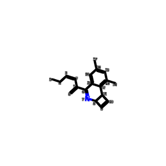 C=C(/C=C\CC)C1=NC2C=CC2c2c(C)cc(C)cc21